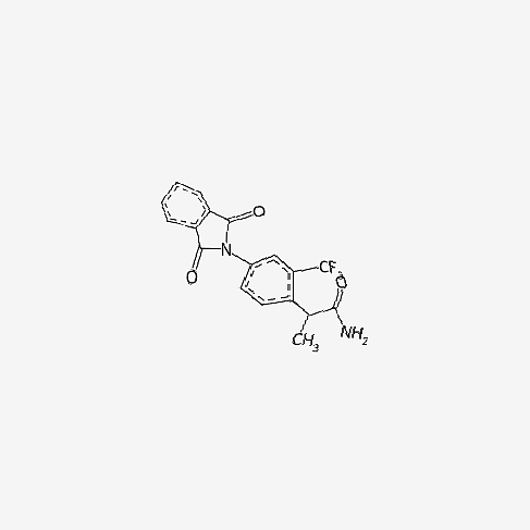 CC(C(N)=O)c1ccc(N2C(=O)c3ccccc3C2=O)cc1C(F)(F)F